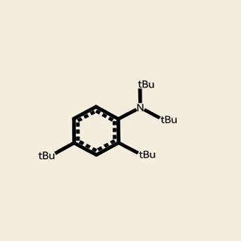 CC(C)(C)c1ccc(N(C(C)(C)C)C(C)(C)C)c(C(C)(C)C)c1